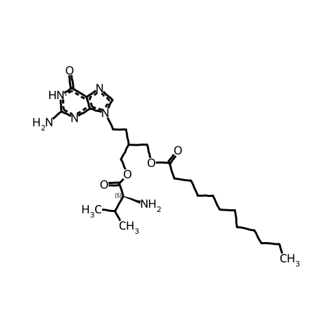 CCCCCCCCCCCC(=O)OCC(CCn1cnc2c(=O)[nH]c(N)nc21)COC(=O)[C@@H](N)C(C)C